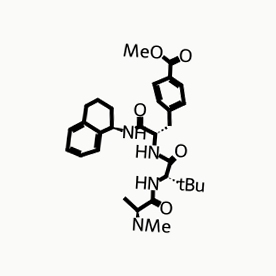 CN[C@@H](C)C(=O)N[C@H](C(=O)N[C@@H](Cc1ccc(C(=O)OC)cc1)C(=O)N[C@@H]1CCCc2ccccc21)C(C)(C)C